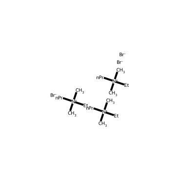 CCC[N+](C)(C)CC.CCC[N+](C)(C)CC.CCC[N+](C)(C)CC.[Br-].[Br-].[Br-]